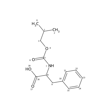 CC(C)COC(=O)NC(Cc1ccccc1)C(=O)O